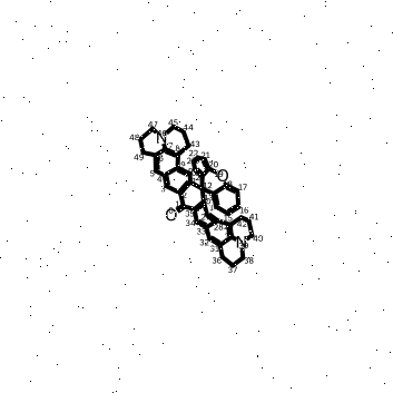 O=C1c2cc3cc4c5c(c3cc2C2(c3ccccc3Oc3ccccc32)c2cc3c6c7c(cc3cc21)CCCN7CCC6)CCCN5CCC4